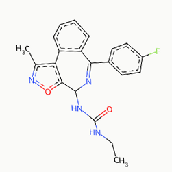 CCNC(=O)NC1N=C(c2ccc(F)cc2)c2ccccc2-c2c(C)noc21